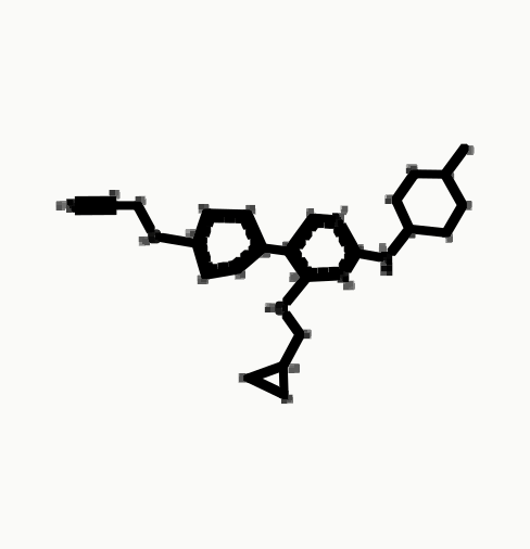 CC1CCC(Nc2ncc(-c3ccc(OCC#N)cc3)c(OCC3CC3)n2)CC1